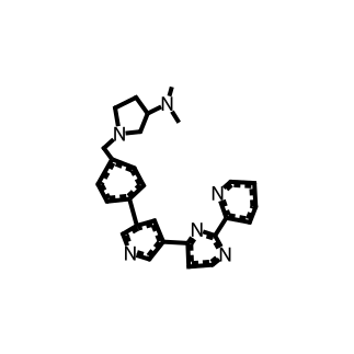 CN(C)C1CCN(Cc2ccc(-c3cncc(-c4ccnc(-c5ccccn5)n4)c3)cc2)C1